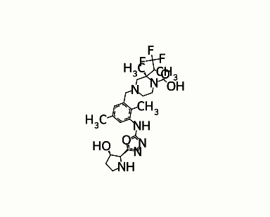 Cc1cc(CN2CCN(C(=O)O)[C@@](C)([C@@H](C)C(F)(F)F)C2)c(C)c(Nc2nnc([C@H]3NCC[C@H]3O)o2)c1